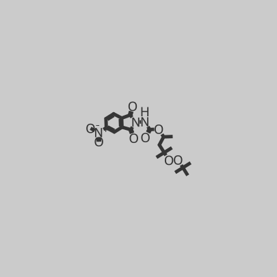 CC(CC(C)(C)OOC(C)(C)C)OC(=O)NN1C(=O)c2ccc([N+](=O)[O-])cc2C1=O